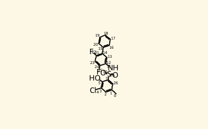 Cc1cc(Cl)c(O)c(S(=O)(=O)Nc2cc(-c3ccccc3)c(F)cc2F)c1